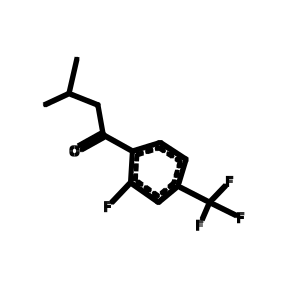 CC(C)CC(=O)c1ccc(C(F)(F)F)cc1F